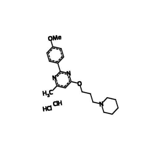 COc1ccc(-c2nc(C)cc(OCCCN3CCCCC3)n2)cc1.Cl.Cl